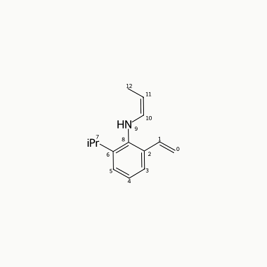 C=Cc1cccc(C(C)C)c1N/C=C\C